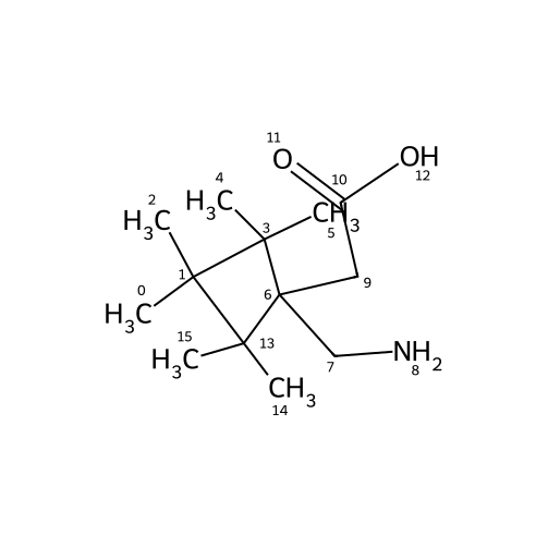 CC1(C)C(C)(C)C(CN)(CC(=O)O)C1(C)C